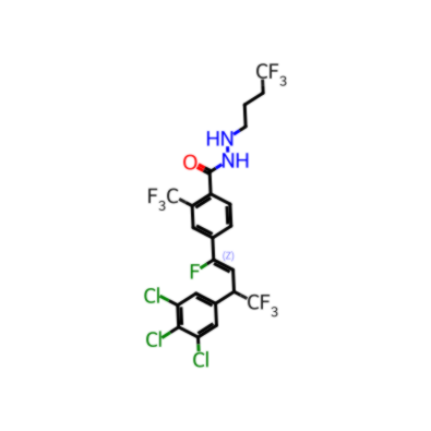 O=C(NNCCCC(F)(F)F)c1ccc(/C(F)=C/C(c2cc(Cl)c(Cl)c(Cl)c2)C(F)(F)F)cc1C(F)(F)F